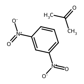 CC(C)=O.O=[N+]([O-])c1cccc([N+](=O)[O-])c1